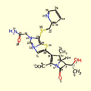 C[C@@H](O)[C@H]1C(=O)N2C(C(=O)[O-])=C(c3c[n+]4cn(CC(N)=O)c(SCc5ccccn5)c4s3)[C@H](C)[C@H]12